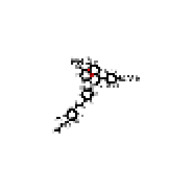 C=CC(=O)Oc1ccc(C=Cc2ccc(N(C=C(c3ccc(OC)cc3)c3ccc(OC)cc3)c3ccc(C)cc3)cc2)cc1